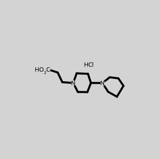 Cl.O=C(O)CCN1CCC(N2CCCCC2)CC1